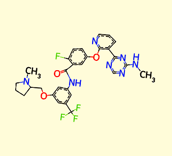 CNc1ncnc(-c2cccnc2Oc2ccc(F)c(C(=O)Nc3cc(OCC4CCCN4C)cc(C(F)(F)F)c3)c2)n1